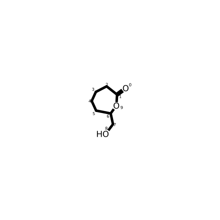 O=C1CCCCC(CO)O1